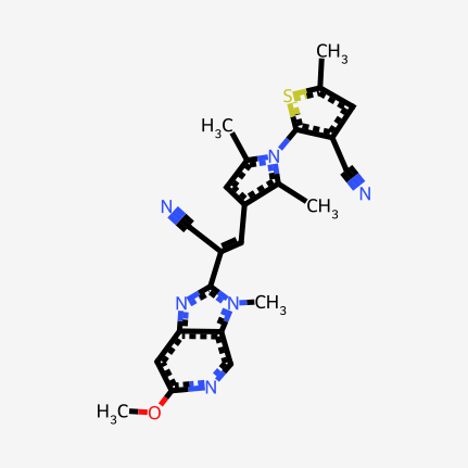 COc1cc2nc(C(C#N)=Cc3cc(C)n(-c4sc(C)cc4C#N)c3C)n(C)c2cn1